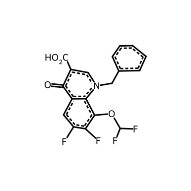 O=C(O)c1cn(Cc2ccccc2)c2c(OC(F)F)c(F)c(F)cc2c1=O